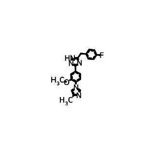 COc1cc(-c2n[nH]c(Cc3ccc(F)cc3)n2)ccc1-n1cnc(C)c1